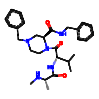 CN[C@@H](C)C(=O)N[C@H](C(=O)N1CCN(Cc2ccccc2)C[C@H]1C(=O)NCc1ccccc1)C(C)C